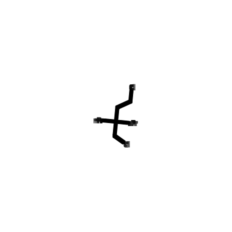 CCCC(CCl)(CCC)CCCl